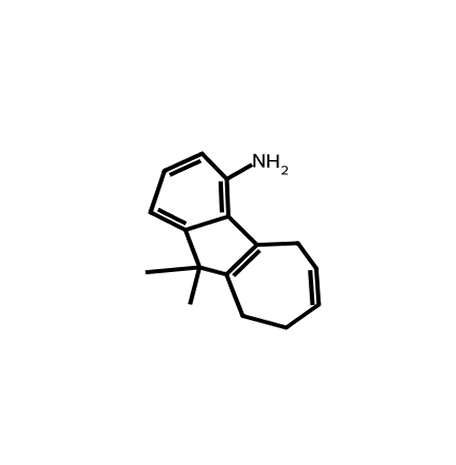 CC1(C)C2=C(CC=CCC2)c2c(N)cccc21